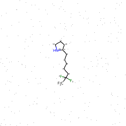 FC(F)(F)C(F)(F)CCCCCC1CCCN1